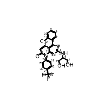 O=c1ccc2c(-c3ccccc3Cl)nc(NC(CO)CO)nc2n1-c1ccc(C(F)(F)F)cc1